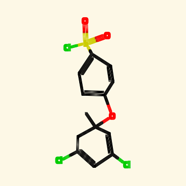 CC1(Oc2ccc(S(=O)(=O)Cl)cc2)C=C(Cl)C=C(Cl)C1